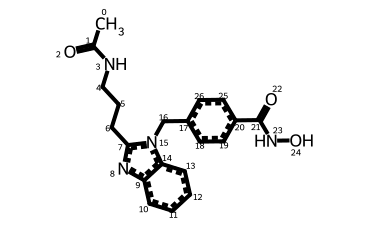 CC(=O)NCCCc1nc2ccccc2n1Cc1ccc(C(=O)NO)cc1